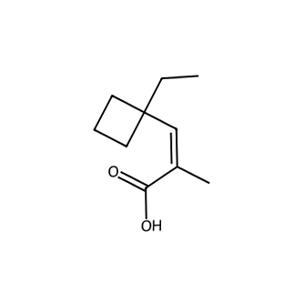 CCC1(C=C(C)C(=O)O)CCC1